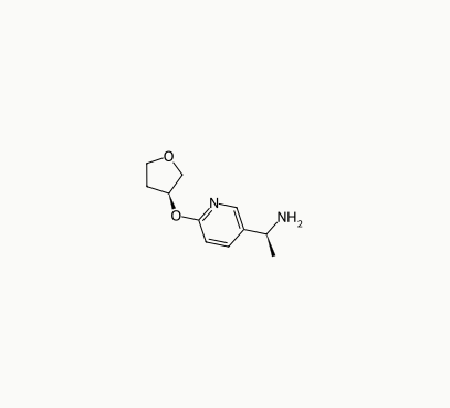 C[C@H](N)c1ccc(O[C@H]2CCOC2)nc1